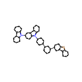 c1cc(-c2ccc(-n3c4ccccc4c4cc(-n5c6ccccc6c6ccccc65)ccc43)cc2)cc(-c2ccc3sc4ccccc4c3c2)c1